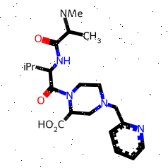 CNC(C)C(=O)NC(C(=O)N1CCN(Cc2ccccn2)CC1C(=O)O)C(C)C